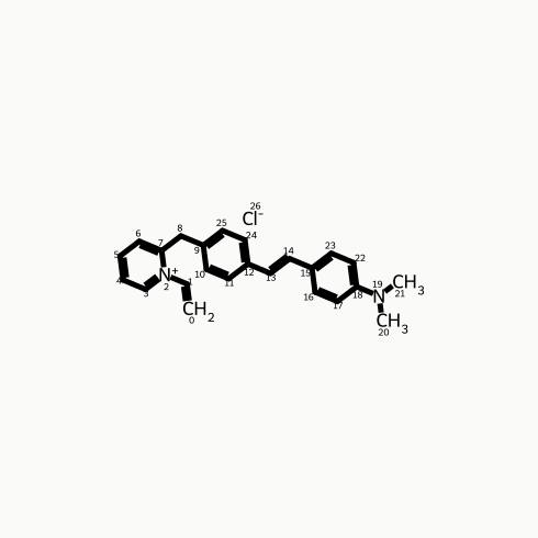 C=C[n+]1ccccc1Cc1ccc(/C=C/c2ccc(N(C)C)cc2)cc1.[Cl-]